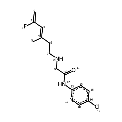 C=C(F)/C=C(\C)CCNCC(=O)Nc1ccc(Cl)cn1